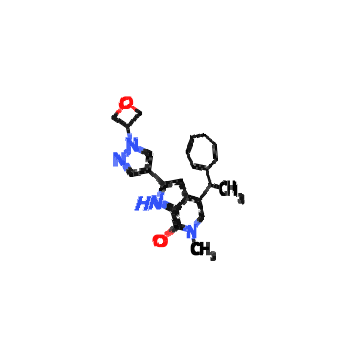 CC(C1=CC=CCC=C1)c1cn(C)c(=O)c2[nH]c(-c3cnn(C4COC4)c3)cc12